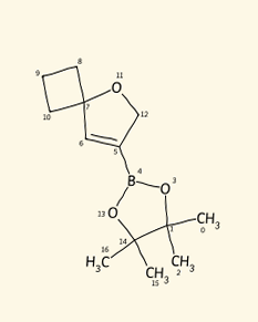 CC1(C)OB(C2=CC3(CCC3)OC2)OC1(C)C